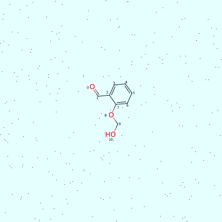 O=Cc1ccccc1OCO